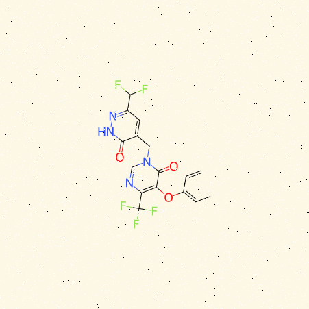 C=C/C(=C\C)Oc1c(C(F)(F)F)ncn(Cc2cc(C(F)F)n[nH]c2=O)c1=O